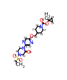 C=CS(=O)(=O)N1CCN(c2cnc(OCC3CCN(C(=O)OC4(C)CC4)CC3)cn2)C(=O)C1